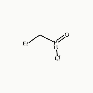 CCC[PH](=O)Cl